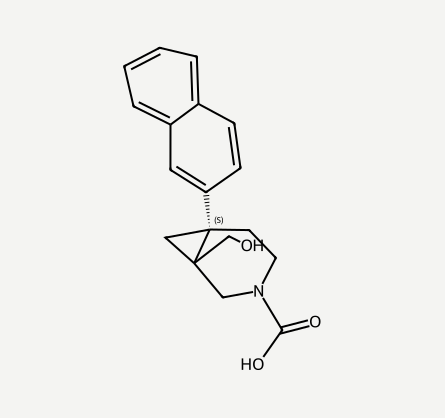 O=C(O)N1CC[C@]2(c3ccc4ccccc4c3)CC2(CO)C1